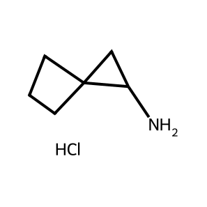 Cl.NC1CC12CCC2